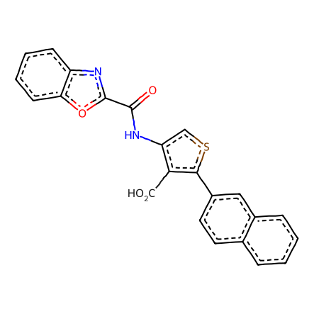 O=C(Nc1csc(-c2ccc3ccccc3c2)c1C(=O)O)c1nc2ccccc2o1